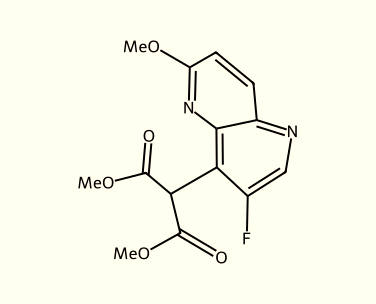 COC(=O)C(C(=O)OC)c1c(F)cnc2ccc(OC)nc12